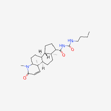 CCCCNC(=O)NC(=O)C1CC[C@H]2[C@@H]3CCC4N(C)C(=O)C=C[C@]4(C)[C@@H]3CC[C@]12C